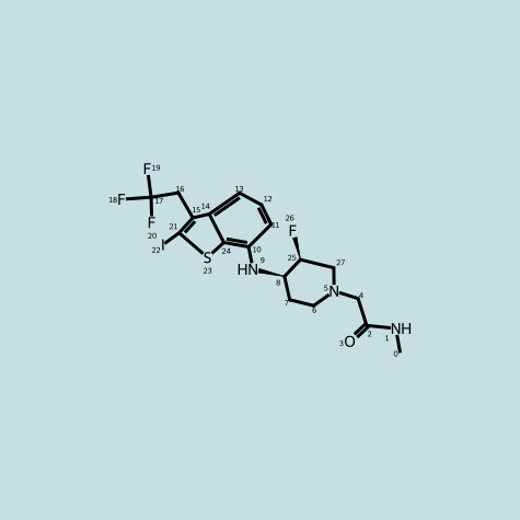 CNC(=O)CN1CC[C@@H](Nc2cccc3c(CC(F)(F)F)c(I)sc23)[C@@H](F)C1